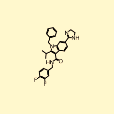 CC(C)c1c(C(=O)NCc2ccc(F)c(F)c2)c2ccc(C3=NCCN3)cc2n1Cc1ccccc1